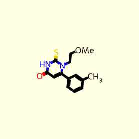 COCCn1c(-c2cccc(C)c2)cc(=O)[nH]c1=S